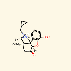 CC(=O)NC12CCC(=O)[C@@H]3Oc4c(O)ccc5c4[C@@]31CCN(CC1CC1)[C@@H]2C5